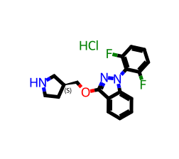 Cl.Fc1cccc(F)c1-n1nc(OC[C@H]2CCNC2)c2ccccc21